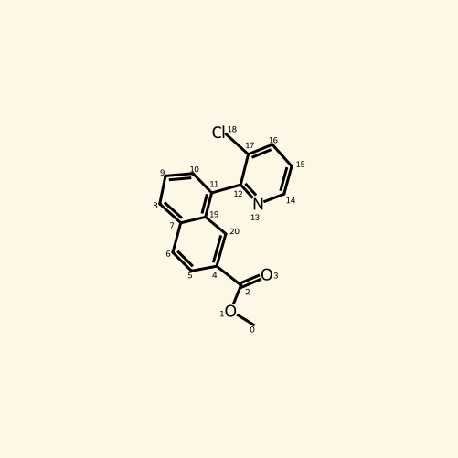 COC(=O)c1ccc2cccc(-c3ncccc3Cl)c2c1